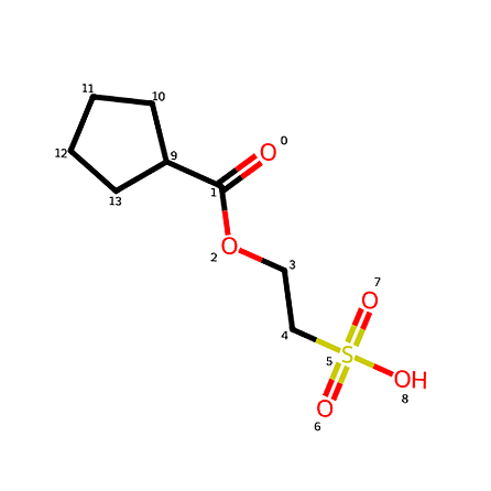 O=C(OCCS(=O)(=O)O)C1CCCC1